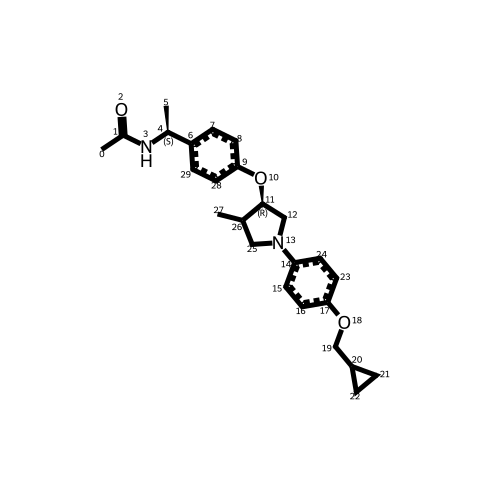 CC(=O)N[C@@H](C)c1ccc(O[C@H]2CN(c3ccc(OCC4CC4)cc3)CC2C)cc1